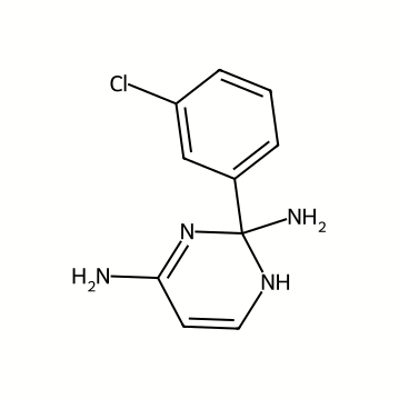 NC1=NC(N)(c2cccc(Cl)c2)NC=C1